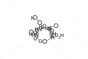 O=C1COc2ccc(cc2)C[C@@H](C(=O)O)NC(=O)[C@H](CCc2ccccc2)NC(=O)[C@@H](Cc2ccc(-c3cccnc3)cc2)NC(=O)[C@H](Cc2cccnc2)N1